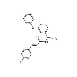 CC(NC(=O)C=Cc1ccc(F)cc1)c1cccc(Oc2cnccn2)c1